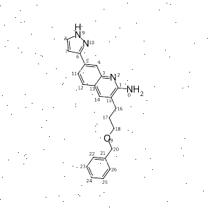 Nc1nc2cc(-c3cc[nH]n3)ccc2cc1CCCOCc1ccccc1